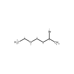 C[CH]OCCC(C)Br